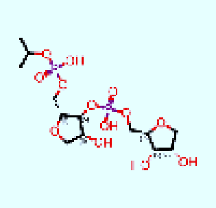 CC(C)OP(=O)(O)OC[C@H]1OC[C@H](O)[C@@H]1OP(=O)(O)OC[C@H]1OC[C@H](O)[C@@H]1O